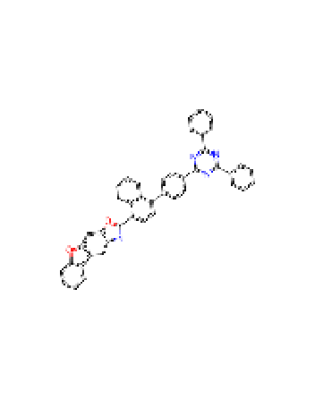 c1ccc(-c2nc(-c3ccccc3)nc(-c3ccc(-c4ccc(-c5nc6cc7c(cc6o5)oc5ccccc57)c5ccccc45)cc3)n2)cc1